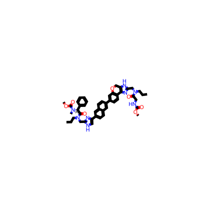 CCCN(Cc1nc2c([nH]1)COc1cc(-c3ccc4cc(-c5c[nH]c(CN(CCC)C(=O)[C@@H](c6ccccc6)N(C)C(=O)OC)n5)ccc4c3)ccc1-2)C(=O)CNC(=O)OC